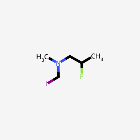 CC(F)CN(C)CI